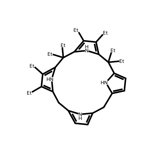 CCc1c2[nH]c(c1CC)C(CC)(CC)c1[nH]c(c(CC)c1CC)C(CC)(CC)c1ccc([nH]1)Cc1ccc([nH]1)C2